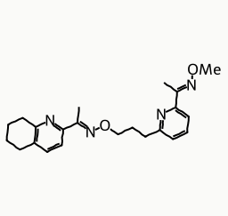 CO/N=C(\C)c1cccc(CCCO/N=C(\C)c2ccc3c(n2)CCCC3)n1